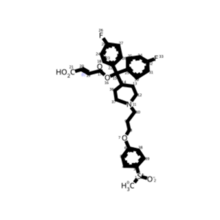 C[S+]([O-])c1ccc(OCCCN2CCC(C(OC(=O)/C=C/C(=O)O)(c3ccc(F)cc3)c3ccc(F)cc3)CC2)cc1